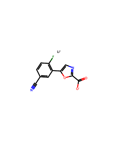 N#Cc1ccc(F)c(-c2cnc(C(=O)[O-])o2)c1.[Li+]